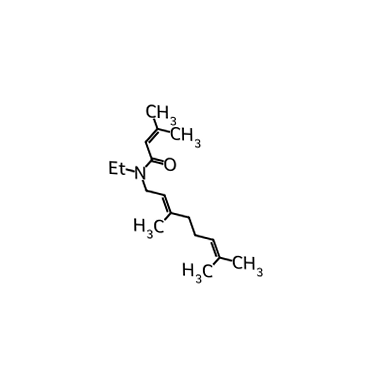 CCN(C/C=C(\C)CCC=C(C)C)C(=O)C=C(C)C